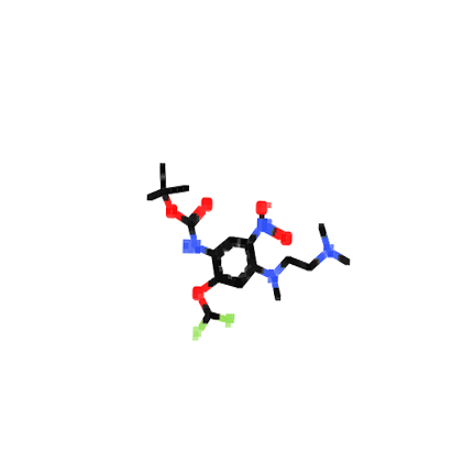 CN(C)CCN(C)c1cc(OC(F)F)c(NC(=O)OC(C)(C)C)cc1[N+](=O)[O-]